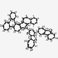 c1ccc2c(c1)ccc1c3c4c5ccccc5c5ccccc5c4ccc3n(-c3nc(-c4ccc5oc6ccccc6c5c4)c4sc5ccccc5c4n3)c21